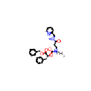 CN(CCC(=O)NCc1ccccn1)C(=O)O[C@@H](Cc1ccccc1)C(=O)OCc1ccccc1